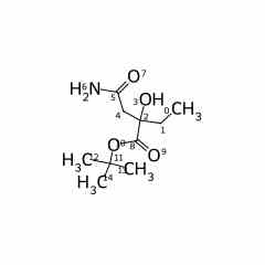 CCC(O)(CC(N)=O)C(=O)OC(C)(C)C